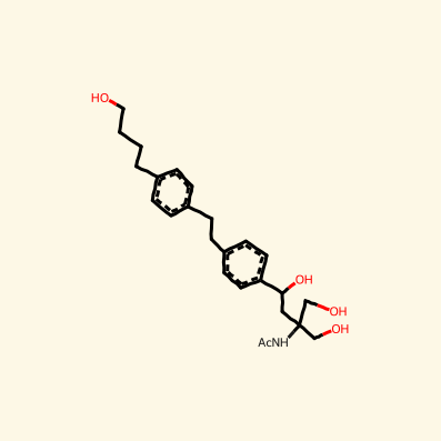 CC(=O)NC(CO)(CO)CC(O)c1ccc(CCc2ccc(CCCCO)cc2)cc1